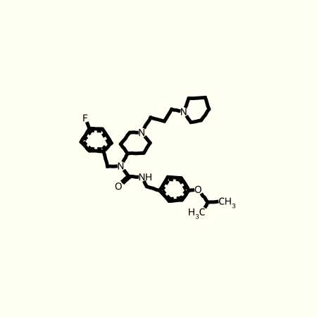 CC(C)Oc1ccc(CNC(=O)N(Cc2ccc(F)cc2)C2CCN(CCCN3CCCCC3)CC2)cc1